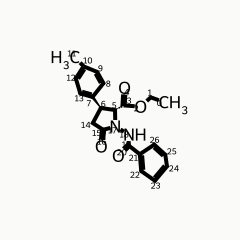 CCOC(=O)[C@H]1[C@H](c2ccc(C)cc2)CC(=O)N1NC(=O)c1ccccc1